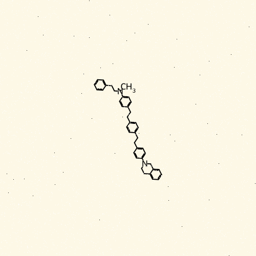 CN(CCc1ccccc1)c1ccc(CCc2ccc(CCc3ccc(N4CCc5ccccc5C4)cc3)cc2)cc1